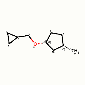 C[C@H]1CC[C@@H](OCC2CC2)C1